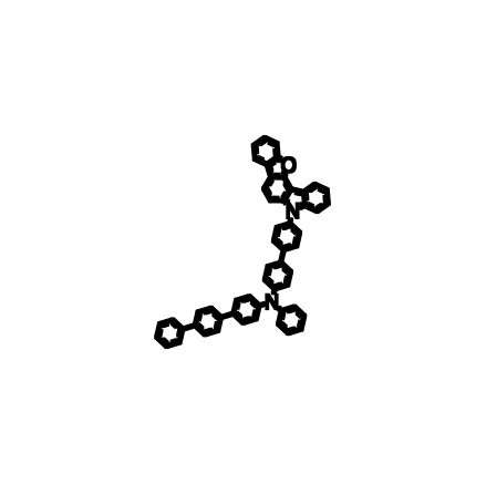 c1ccc(-c2ccc(-c3ccc(N(c4ccccc4)c4ccc(-c5ccc(-n6c7ccccc7c7c8oc9ccccc9c8ccc76)cc5)cc4)cc3)cc2)cc1